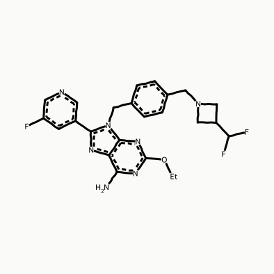 CCOc1nc(N)c2nc(-c3cncc(F)c3)n(Cc3ccc(CN4CC(C(F)F)C4)cc3)c2n1